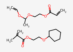 C=C(C)C(=O)OCCOC1CCCCC1.C=COC(C)OCCOC(=O)C=C